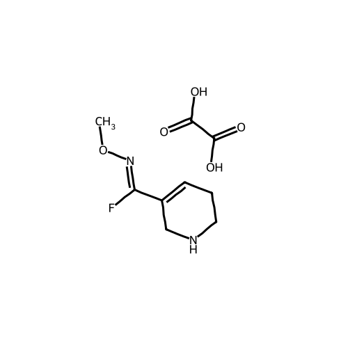 CON=C(F)C1=CCCNC1.O=C(O)C(=O)O